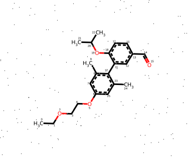 CCOCCOc1cc(C)c(-c2cc(C=O)ccc2OC(C)C)c(C)c1